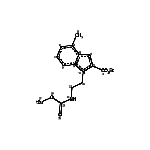 CCOC(=O)c1cc2c(C)cccc2n1CCNC(=O)OC(C)(C)C